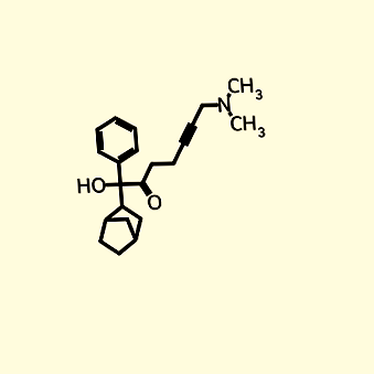 CN(C)CC#CCCC(=O)C(O)(c1ccccc1)C1CC2CCC1C2